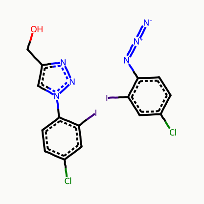 OCc1cn(-c2ccc(Cl)cc2I)nn1.[N-]=[N+]=Nc1ccc(Cl)cc1I